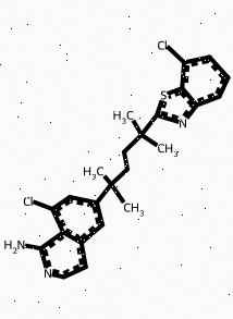 CC(C)(CCC(C)(C)c1nc2cccc(Cl)c2s1)c1cc(Cl)c2c(N)nccc2c1